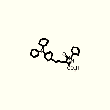 O=C(O)C1=NN(C2=CC=CCC2)C(=O)/C1=C\C=C\C1CC=C(N(C2=CCCC=C2)C2C=CC=CC2)CC1